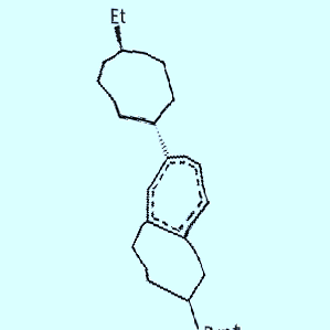 CCCCCC1CCc2cc([C@H]3CC[C@H](CC)CC3)ccc2C1